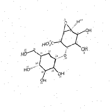 O=C(O)C1C2O[C@H]2C(O)C(O)[C@@H]1O[C@H]1CC(CO)[C@@H](O)C(O)C1O